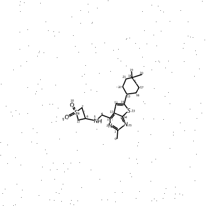 Cc1nc(CNC2CS(=O)(=O)C2)c2cc(C3CCC(C)(C)CC3)sc2n1